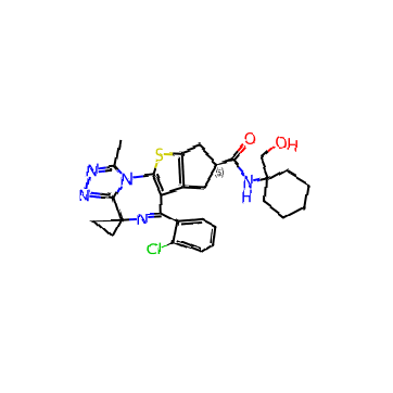 Cc1nnc2n1-c1sc3c(c1C(c1ccccc1Cl)=NC21CC1)C[C@H](C(=O)NC1(CO)CCCCC1)C3